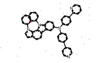 c1ccc(-n2ccc3ccc4c5cc(N(c6ccc(-c7ccncc7)cc6)c6ccc(-c7ccccn7)cc6)ccc5n(-c5ccccc5)c4c32)cc1